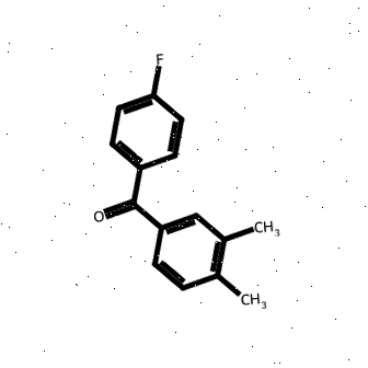 Cc1ccc(C(=O)c2ccc(F)cc2)cc1C